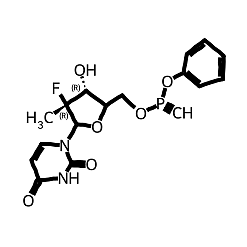 C#P(OCC1OC(n2ccc(=O)[nH]c2=O)[C@](C)(F)[C@@H]1O)Oc1ccccc1